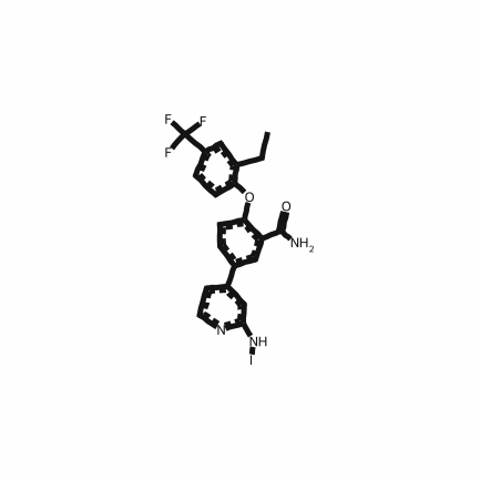 CCc1cc(C(F)(F)F)ccc1Oc1ccc(-c2ccnc(NI)c2)cc1C(N)=O